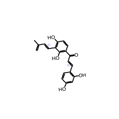 C=C(C)/C=C/c1c(O)ccc(C(=O)/C=C/c2ccc(O)cc2O)c1O